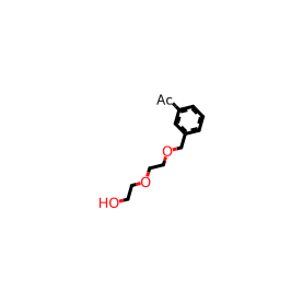 CC(=O)c1cccc(COCCOCCO)c1